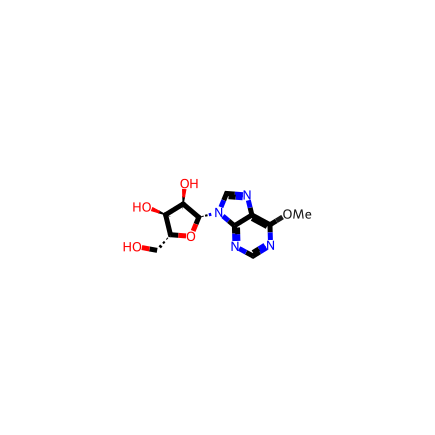 COc1ncnc2c1ncn2[C@@H]1O[C@H](CO)[C@@H](O)[C@H]1O